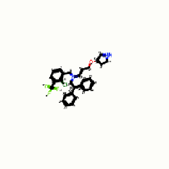 FC(F)(F)c1cccc(CN(CCCO[C@H]2CCNC2)CC(c2ccccc2)c2ccccc2)c1Cl